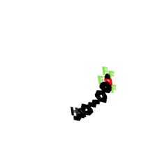 CCCC[Si@H]1CC[C@H](CCCC[C@H]2CC[C@H](c3cc(F)c(OC=C(F)F)c(F)c3)CC2)CC1